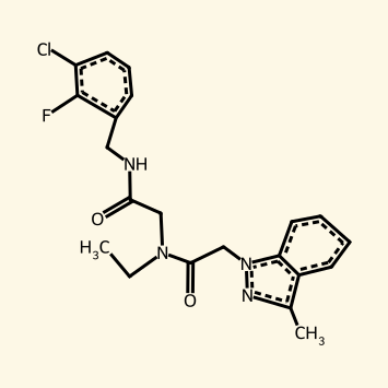 CCN(CC(=O)NCc1cccc(Cl)c1F)C(=O)Cn1nc(C)c2ccccc21